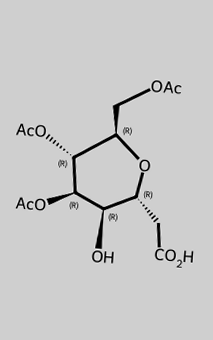 CC(=O)OC[C@H]1O[C@H](CC(=O)O)[C@@H](O)[C@@H](OC(C)=O)[C@@H]1OC(C)=O